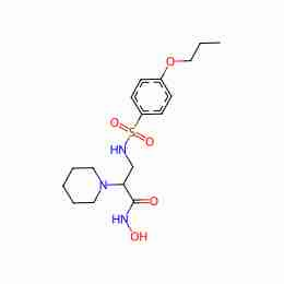 CCCOc1ccc(S(=O)(=O)NCC(C(=O)NO)N2CCCCC2)cc1